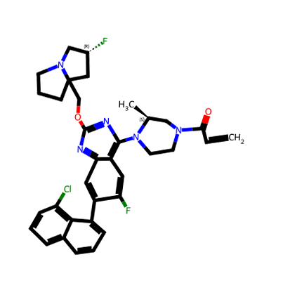 C=CC(=O)N1CCN(c2nc(OCC34CCCN3C[C@H](F)C4)nc3cc(-c4cccc5cccc(Cl)c45)c(F)cc23)[C@@H](C)C1